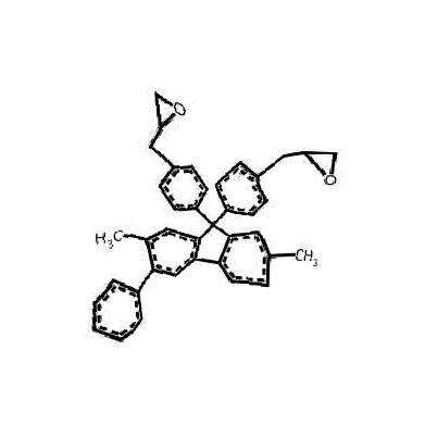 Cc1ccc2c(c1)C(c1ccc(CC3CO3)cc1)(c1ccc(CC3CO3)cc1)c1cc(C)c(-c3ccccc3)cc1-2